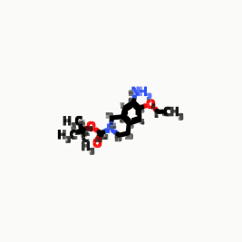 CCOc1cc2c(cc1N)CN(C(=O)OC(C)(C)C)CC2